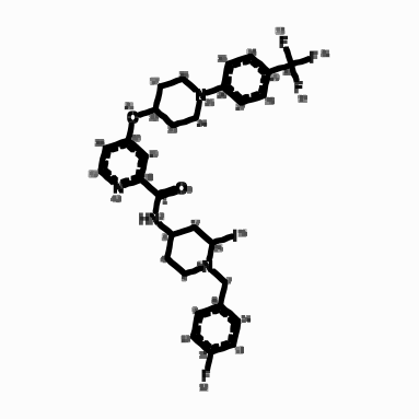 O=C(NC1CCN(Cc2ccc(F)cc2)C(I)C1)c1cc(OC2CCN(c3ccc(C(F)(F)F)cc3)CC2)ccn1